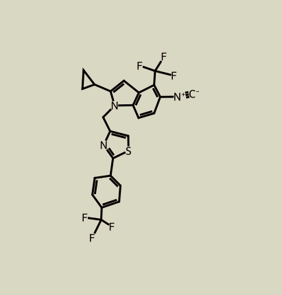 [C-]#[N+]c1ccc2c(cc(C3CC3)n2Cc2csc(-c3ccc(C(F)(F)F)cc3)n2)c1C(F)(F)F